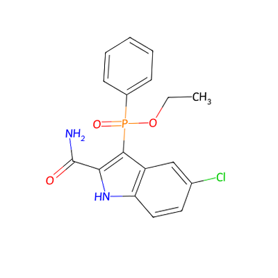 CCOP(=O)(c1ccccc1)c1c(C(N)=O)[nH]c2ccc(Cl)cc12